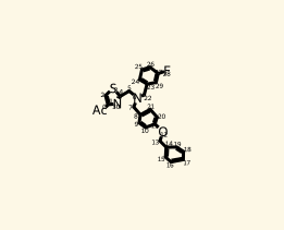 CC(=O)c1csc(CN(Cc2ccc(OCc3ccccc3)cc2)Cc2cccc(F)c2)n1